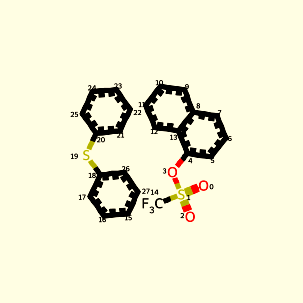 O=S(=O)(Oc1cccc2ccccc12)C(F)(F)F.c1ccc(Sc2ccccc2)cc1